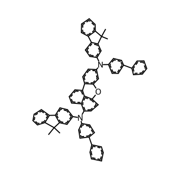 CC1(C)c2ccccc2-c2ccc(N(c3ccc(-c4ccccc4)cc3)c3ccc4c(c3)Oc3ccc(N(c5ccc(-c6ccccc6)cc5)c5ccc6c(c5)C(C)(C)c5ccccc5-6)c5cccc-4c35)cc21